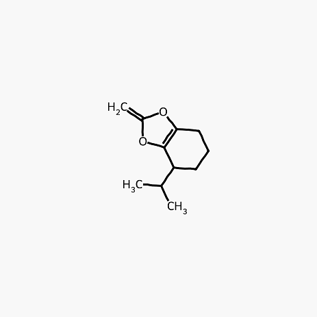 C=C1OC2=C(O1)C(C(C)C)CCC2